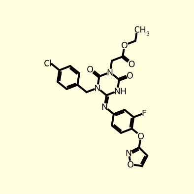 CCOC(=O)Cn1c(=O)[nH]/c(=N\c2ccc(Oc3ccon3)c(F)c2)n(Cc2ccc(Cl)cc2)c1=O